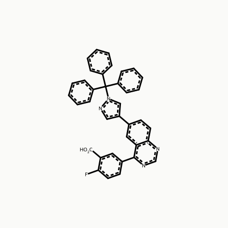 O=C(O)c1cc(-c2ncnc3ccc(-c4cnn(C(c5ccccc5)(c5ccccc5)c5ccccc5)c4)cc23)ccc1F